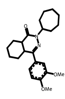 COc1ccc(C2=NN(C3CCCCCC3)C(=O)C3CCCCC23)cc1OC